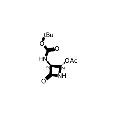 CC(=O)O[C@@H]1NC(=O)[C@H]1NC(=O)OC(C)(C)C